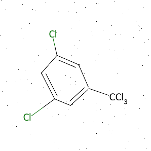 Clc1cc(Cl)cc(C(Cl)(Cl)Cl)c1